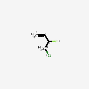 C=CC(F)[SiH2]Cl